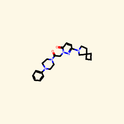 O=C(Cn1nc(N2CCC3(CCC3)C2)ccc1=O)N1CCN(c2ccccc2)CC1